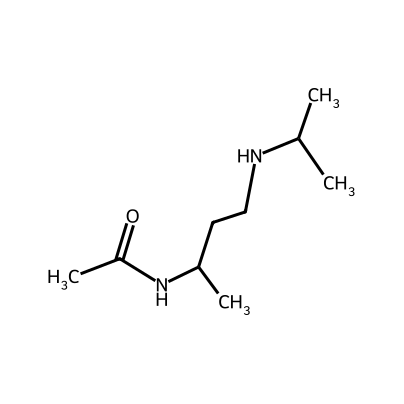 CC(=O)NC(C)CCNC(C)C